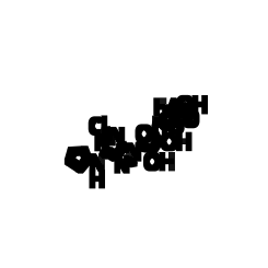 CC(F)(OC[C@H]1O[C@@H](n2cnc3c(NC4CCCC4)nc(Cl)nc32)[C@H](O)[C@@H]1O)P(=O)(O)O